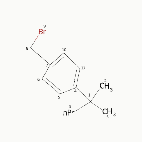 CCCC(C)(C)c1ccc(CBr)cc1